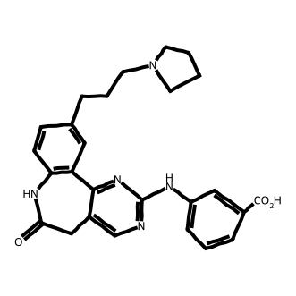 O=C1Cc2cnc(Nc3cccc(C(=O)O)c3)nc2-c2cc(CCCN3CCCC3)ccc2N1